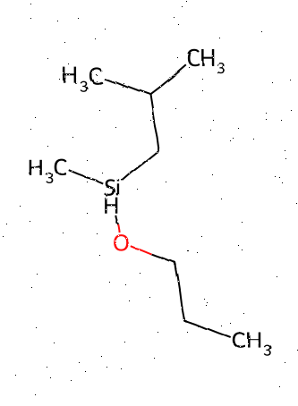 CCCO[SiH](C)CC(C)C